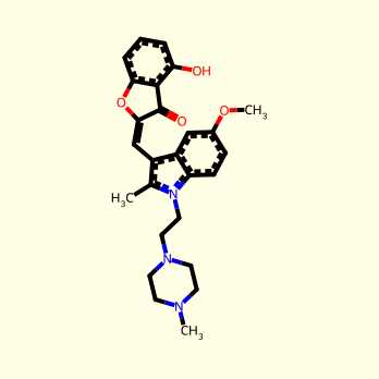 COc1ccc2c(c1)c(C=C1Oc3cccc(O)c3C1=O)c(C)n2CCN1CCN(C)CC1